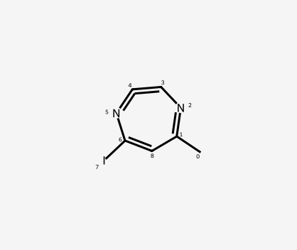 CC1=NC=C=NC(I)=C1